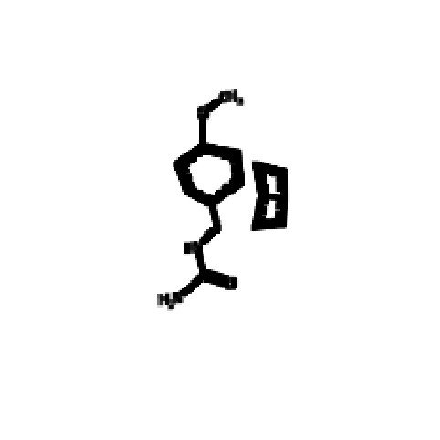 COc1ccc(SNC(N)=O)cc1.c1cc2ccc1-2